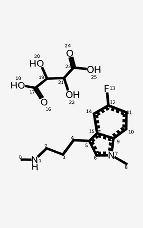 CNCCCc1cn(C)c2ccc(F)cc12.O=C(O)C(O)C(O)C(=O)O